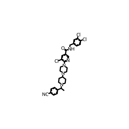 CC(c1ccc(C#N)cc1)N1CCC(N2CCN(c3ncc(C(=O)NCc4ccc(Cl)c(Cl)c4)cc3Cl)CC2)CC1